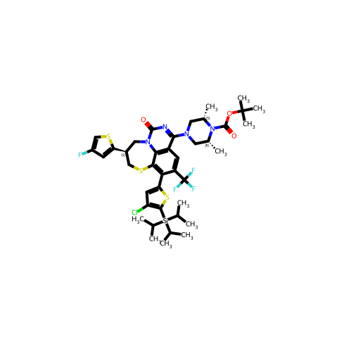 CC(C)[Si](c1sc(-c2c(C(F)(F)F)cc3c(N4C[C@@H](C)N(C(=O)OC(C)(C)C)[C@@H](C)C4)nc(=O)n4c3c2SC[C@@H](c2cc(F)cs2)C4)cc1Cl)(C(C)C)C(C)C